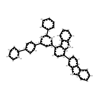 c1ccc(-c2nc(-c3ccc(-c4ccccn4)cc3)cc(-c3ccc(-c4ccc5c(c4)sc4ccccc45)c4oc5ccccc5c34)n2)cc1